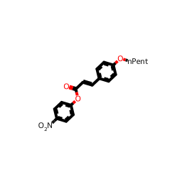 CCCCCOc1ccc(C=CC(=O)Oc2ccc([N+](=O)[O-])cc2)cc1